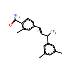 Cc1cc(C)cc(C(/C=C/c2ccc(C(N)=O)c(C)c2)C(F)(F)F)c1